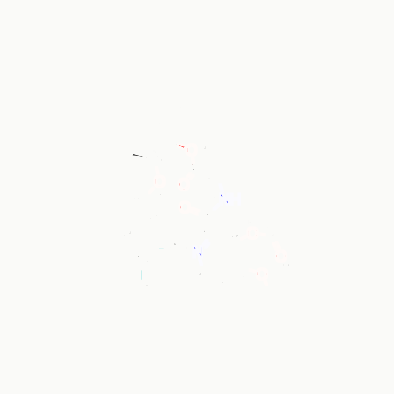 COc1ccnc(C(=O)N[C@@H](C)C(=O)O[C@H](C(C)C)[C@H](C)OCCCC(F)(F)F)c1OC(C)=O